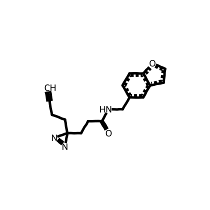 C#CCCC1(CCC(=O)NCc2ccc3occc3c2)N=N1